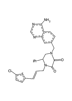 CC(C)C1CN(Cc2ccc3c(N)ncnc3c2)C(=O)C(=O)N1C/C=C/c1ccc(Cl)s1